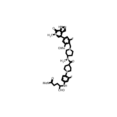 CNC(=O)CCC(C=O)Nc1ccc(N2CCC(C(=O)N(C)C3CCN(Cc4c(F)cc(-c5cn(C)c(=O)c6[nH]ncc56)cc4OC)CC3)CC2)c(F)c1